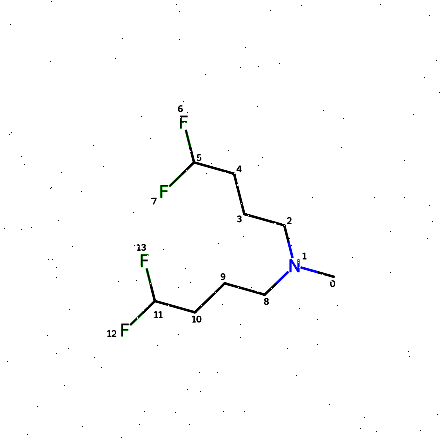 CN(CCCC(F)F)CCCC(F)F